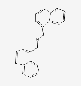 c1ccc2c(C[N]Cc3cccc4ccccc34)cccc2c1